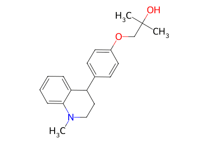 CN1CCC(c2ccc(OCC(C)(C)O)cc2)c2ccccc21